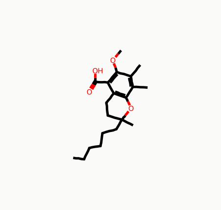 CCCCCCC1(C)CCc2c(c(C)c(C)c(OC)c2C(=O)O)O1